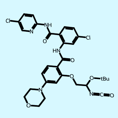 CC(C)(C)OC(COc1cc(N2CCOCC2)ccc1C(=O)Nc1cc(Cl)ccc1C(=O)Nc1ccc(Cl)cn1)N=C=O